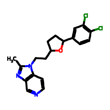 Cc1nc2cnccc2n1CCC1CCC(c2ccc(Cl)c(Cl)c2)O1